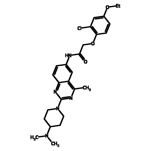 CCOc1ccc(OCC(=O)Nc2ccc3nc(N4CCC(N(C)C)CC4)nc(C)c3c2)c(Cl)c1